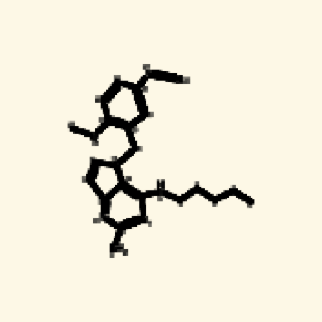 CCCCCNc1nc(N)nc2ccn(Cc3cc(N=O)ccc3OC)c12